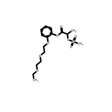 CCOCCOCCOc1ccccc1OC(=O)C(C)OS(C)(=O)=O